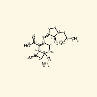 CC(C)CN1CCC(=CC2=C(C(=O)O)N3C(=O)[C@@H](N)[C@H]3SC2)C1=O